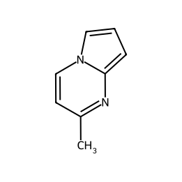 Cc1ccn2cccc2n1